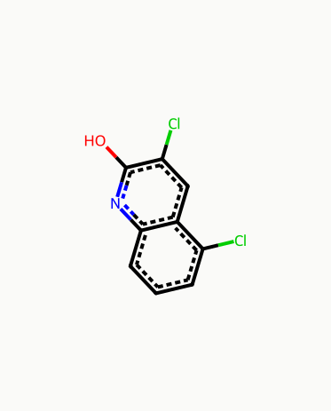 Oc1nc2cccc(Cl)c2cc1Cl